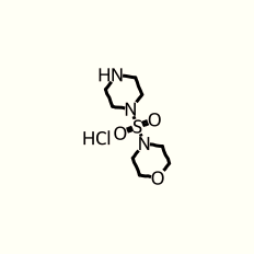 Cl.O=S(=O)(N1CCNCC1)N1CCOCC1